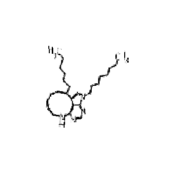 CCCCCCCCn1cc2c3c(ncnc31)NCCCCCC2CCCCCC